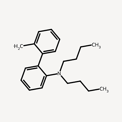 [CH2]c1ccccc1-c1ccccc1N(CCCC)CCCC